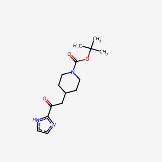 CC(C)(C)OC(=O)N1CCC(CC(=O)c2ncc[nH]2)CC1